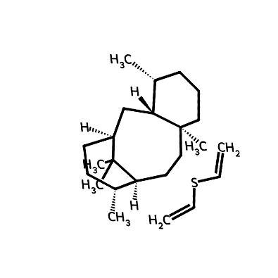 C=CSC=C.C[C@@H]1CCC[C@@]2(C)CC[C@H]3[C@H](C)CC[C@@H](C[C@H]12)C3(C)C